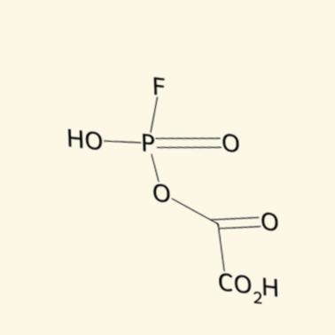 O=C(O)C(=O)OP(=O)(O)F